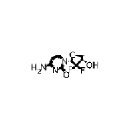 Nc1ccn([C@@H]2O[CH][C@@H](O)C2(F)F)c(=O)n1